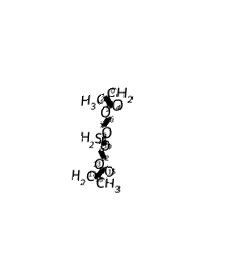 C=C(C)C(=O)OCCO[SiH2]OCCOC(=O)C(=C)C